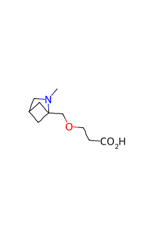 CN1CC2CC1(COCCC(=O)O)C2